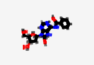 O=C(Nc1ncnc2c1[nH]c(=O)n2[C@H]1C[C@H](O)[C@@H](CO)O1)c1ccccc1